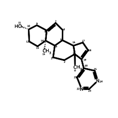 CC12CCC3C(CC=C4C[C@@H](O)CC[C@@]43C)C1CC=C2c1cncnc1